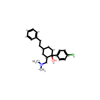 CN(C)CC1CC(CCc2ccccc2)CCC1(O)c1ccc(Br)cc1